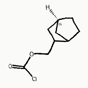 O=C(Cl)OCC1C[C@H]2CCC1C2